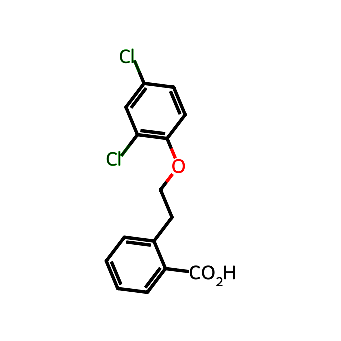 O=C(O)c1ccccc1CCOc1ccc(Cl)cc1Cl